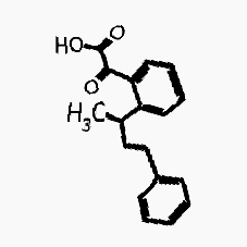 CC(CCc1ccccc1)c1ccccc1C(=O)C(=O)O